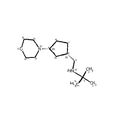 CC(C)(C)NC[C@H]1CC[C@@H](N2CCOCC2)C1